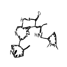 CC(Nc1ccn(C)n1)=C1C(=O)Nc2cnc(-c3cnccc3C)nc21